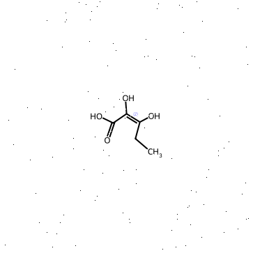 CC/C(O)=C(/O)C(=O)O